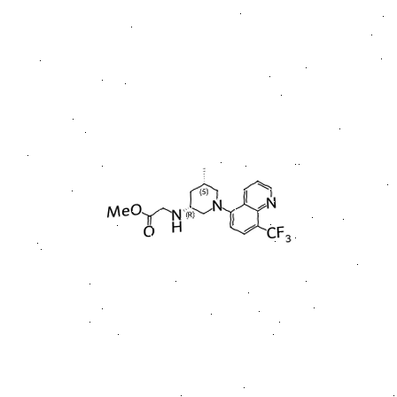 COC(=O)CN[C@@H]1C[C@H](C)CN(c2ccc(C(F)(F)F)c3ncccc23)C1